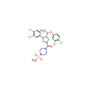 CC(Oc1ccc(Cl)c(Cl)c1)C1CN(C(=O)N2CCN(S(C)(=O)=O)CC2)CC1c1ccc(Cl)c(Cl)c1